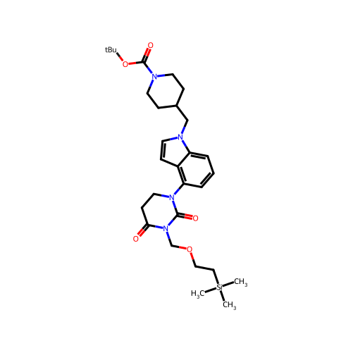 CC(C)(C)OC(=O)N1CCC(Cn2ccc3c(N4CCC(=O)N(COCC[Si](C)(C)C)C4=O)cccc32)CC1